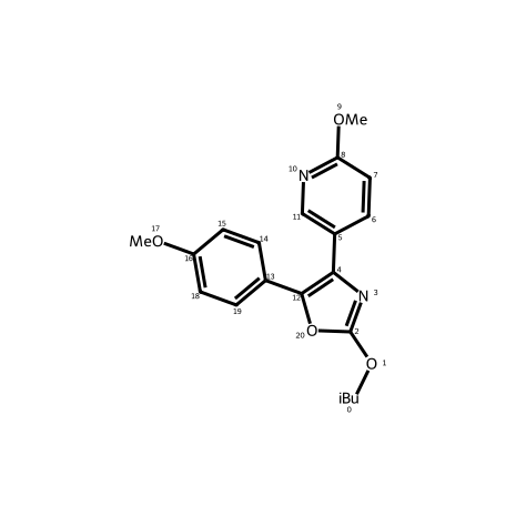 CCC(C)Oc1nc(-c2ccc(OC)nc2)c(-c2ccc(OC)cc2)o1